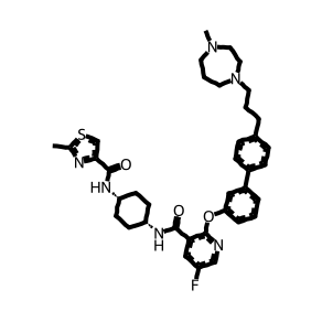 Cc1nc(C(=O)N[C@H]2CC[C@@H](NC(=O)c3cc(F)cnc3Oc3cccc(-c4ccc(CCCN5CCCN(C)CC5)cc4)c3)CC2)cs1